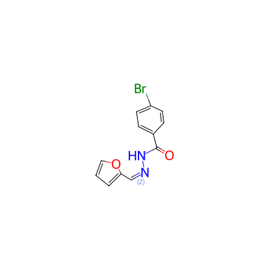 O=C(N/N=C\c1ccco1)c1ccc(Br)cc1